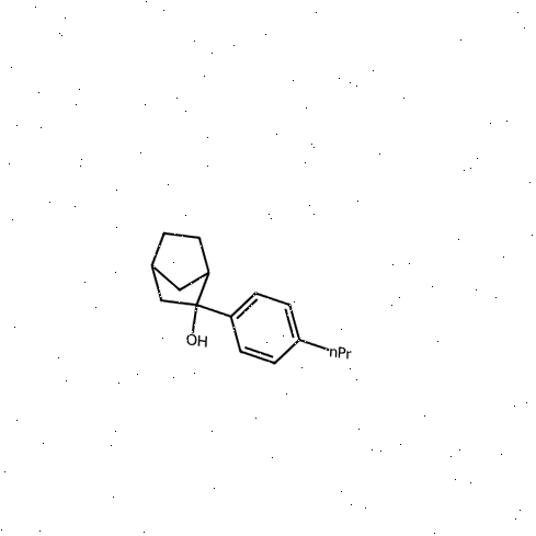 CCCc1ccc(C2(O)CC3CCC2C3)cc1